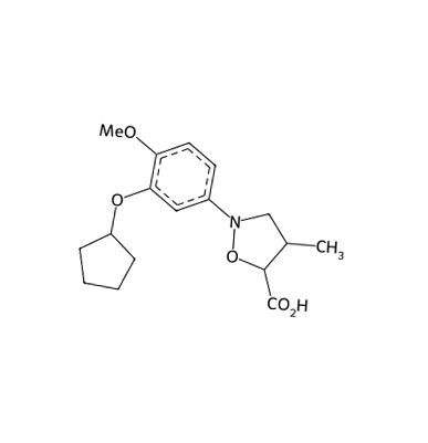 COc1ccc(N2CC(C)C(C(=O)O)O2)cc1OC1CCCC1